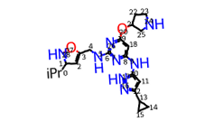 CC(C)C1C=C(CNc2nc(Nc3cc(C4CC4)n[nH]3)cc(OC3CCNC3)n2)ON1